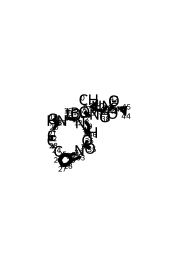 C=C[C@@H]1C[C@]1(NC(=O)[C@@H]1C[C@@H]2CN1C(=O)[C@H](C(C)(C)C)NC(=O)CCCCCc1cccc3c1CN(C3)C(=O)O2)C(=O)NS(=O)(=O)C1CC1